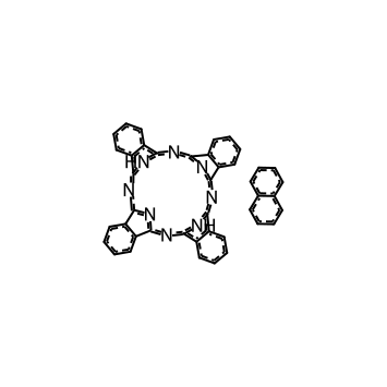 c1ccc2c(c1)-c1nc-2nc2[nH]c(nc3nc(nc4[nH]c(n1)c1ccccc41)-c1ccccc1-3)c1ccccc21.c1ccc2ccccc2c1